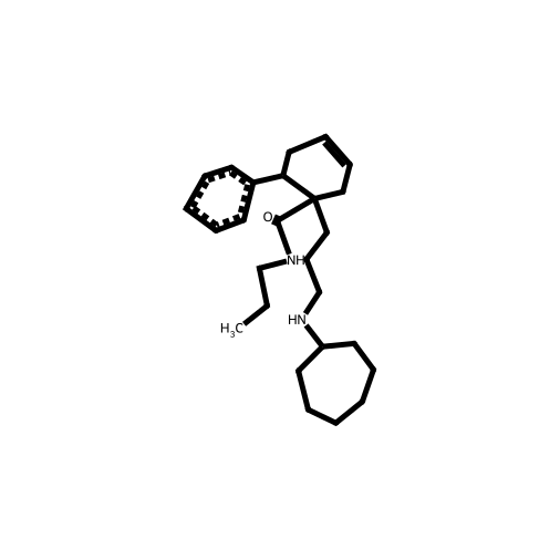 CCCNC(=O)C1(CCCNC2CCCCCC2)CC=CCC1c1ccccc1